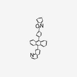 c1cnc2cc(-c3c4ccccc4c(-c4ccc(-c5nc6ccccc6o5)cc4)c4ccccc34)ccc2c1